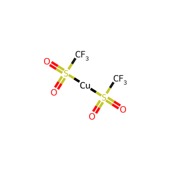 O=[S](=O)([Cu][S](=O)(=O)C(F)(F)F)C(F)(F)F